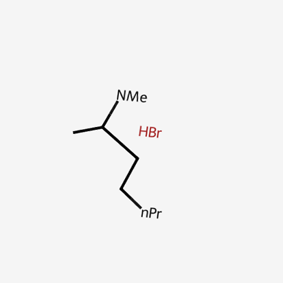 Br.CCCCCC(C)NC